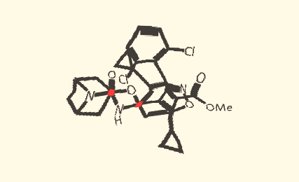 COC(=O)c1ccc(NC(=O)N2C3CC(OCc4c(-c5c(Cl)cccc5Cl)noc4C4CC4)CC2C3)c(C2CC2)c1